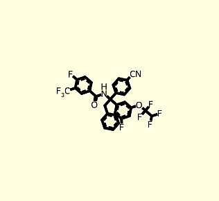 N#Cc1ccc(C(Cc2ccccc2)(NC(=O)c2ccc(F)c(C(F)(F)F)c2)c2cc(F)cc(OC(F)(F)C(F)F)c2)cc1